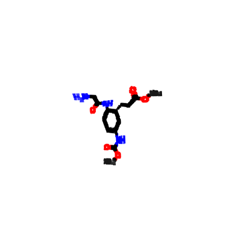 CC(C)(C)OC(=O)CC[C@@H]1C[C@H](NC(=O)OC(C)(C)C)CC[C@@H]1NC(=O)CN